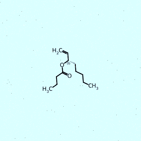 C=C[C@H](CCCCC)OC(=O)CCC